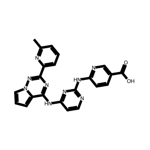 Cc1cccc(-c2nc(Nc3ccnc(Nc4ccc(C(=O)O)cn4)n3)c3cccn3n2)n1